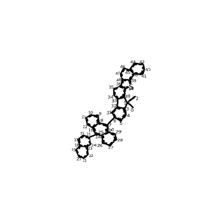 CC1(C)c2ccc(-c3c4ccccc4c(-c4ccc5ccccc5c4)c4ccccc34)cc2-c2ccc3c(sc4c5ccccc5ccc34)c21